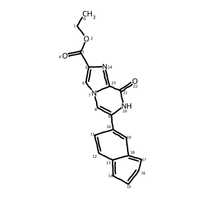 CCOC(=O)c1cn2cc(-c3ccc4ccccc4c3)[nH]c(=O)c2n1